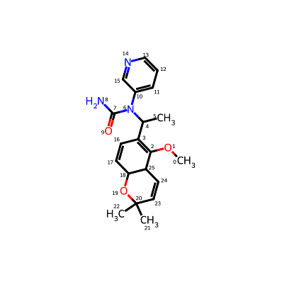 COC1=C(C(C)N(C(N)=O)c2cccnc2)C=CC2OC(C)(C)C=CC12